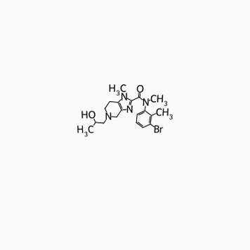 Cc1c(Br)cccc1N(C)C(=O)c1nc2c(n1C)CCN(CC(C)O)C2